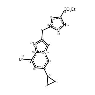 CCOC(=O)c1cn(Cc2cn3cc(C4CC4)cc(Br)c3n2)nn1